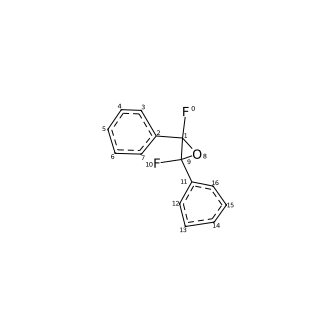 FC1(c2ccccc2)OC1(F)c1ccccc1